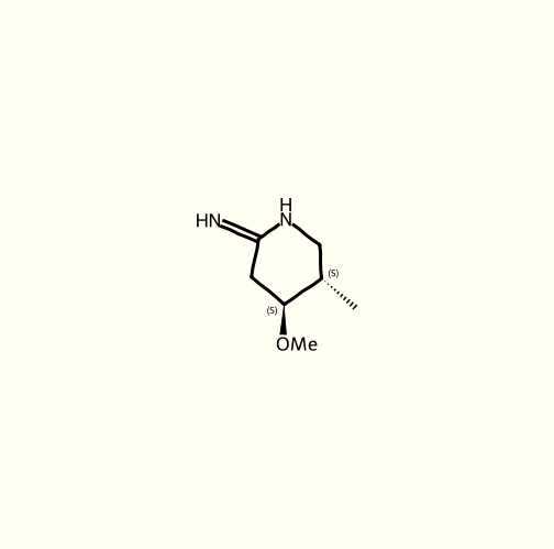 CO[C@H]1CC(=N)NC[C@@H]1C